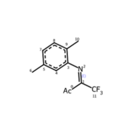 CC(=O)/C(=N\c1cc(C)ccc1C)C(F)(F)F